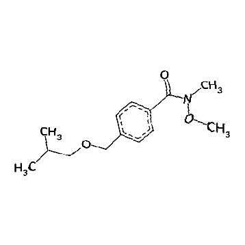 CON(C)C(=O)c1ccc(COCC(C)C)cc1